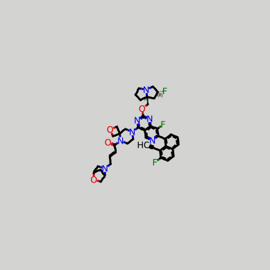 C#Cc1c(F)ccc2cccc(-c3ncc4c(N5CCN(C(=O)C=CCN6CC7CC6CO7)C6(COC6)C5)nc(OC[C@@]56CCCN5C[C@H](F)C6)nc4c3F)c12